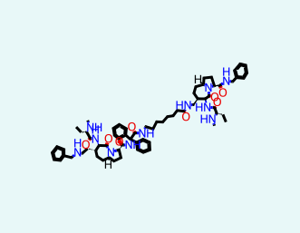 CC[C@H](NC)C(=O)N[C@@H]1C(=O)N2[C@@H](CC[C@@H]1CNC(=O)CCCCCCCNC(=O)C(NC(=O)[C@@H]1CC[C@@H]3CC[C@H](CCNCc4ccccc4)[C@H](NC(=O)[C@H](CC)NC)C(=O)N31)(c1ccccc1)c1ccccc1)CC[C@H]2C(=O)NCc1ccccc1